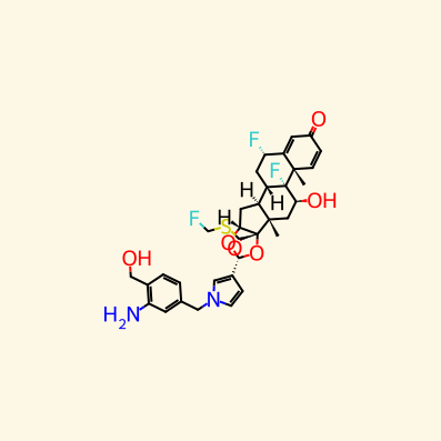 C[C@]12C=CC(=O)C=C1[C@@H](F)C[C@H]1[C@@H]3C[C@H]4O[C@@H](c5ccn(Cc6ccc(CO)c(N)c6)c5)O[C@@]4(C(=O)SCF)[C@@]3(C)C[C@H](O)[C@@]12F